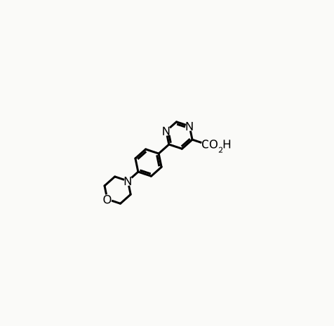 O=C(O)c1cc(-c2ccc(N3CCOCC3)cc2)ncn1